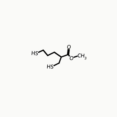 COC(=O)C(CS)CCCS